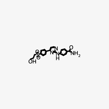 NC(=O)c1ccc(Nc2nccc(-c3ccc(S(=O)(=O)CCCO)cc3)n2)cc1